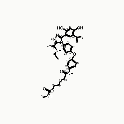 CCNC(=O)c1nnc(-c2cc(C(C)C)c(O)cc2O)n1-c1ccc(Oc2ccc(NC(=O)COCCOC(=O)NC)cc2)cc1